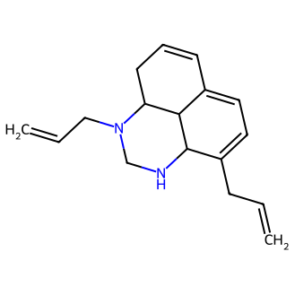 C=CCC1=CC=C2C=CCC3C2C1NCN3CC=C